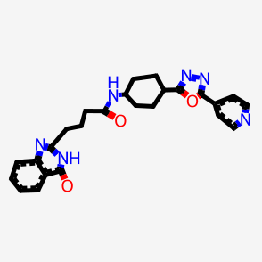 O=C(CCCc1nc2ccccc2c(=O)[nH]1)NC1CCC(c2nnc(-c3ccncc3)o2)CC1